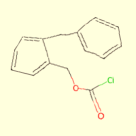 O=C(Cl)OCc1ccccc1Cc1ccccc1